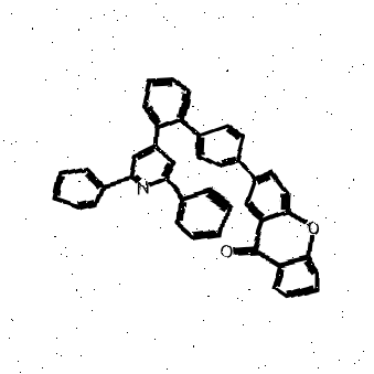 O=c1c2ccccc2oc2ccc(-c3ccc(-c4ccccc4-c4cc(-c5ccccc5)nc(-c5ccccc5)c4)cc3)cc12